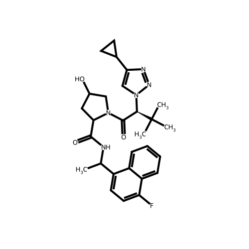 CC(NC(=O)C1CC(O)CN1C(=O)[C@@H](n1cc(C2CC2)nn1)C(C)(C)C)c1ccc(F)c2ccccc12